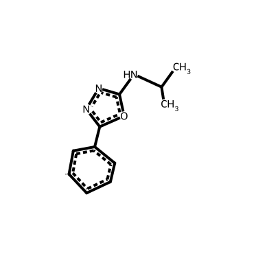 CC(C)Nc1nnc(-c2c[c]ccc2)o1